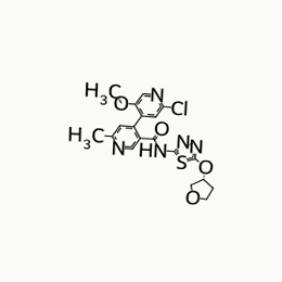 COc1cnc(Cl)cc1-c1cc(C)ncc1C(=O)Nc1nnc(O[C@@H]2CCOC2)s1